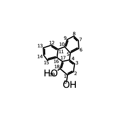 Oc1ccc2c3ccccc3c3ccccc3c2c1O